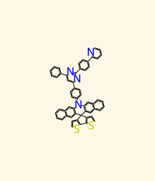 c1ccc(-c2cc(-c3ccc(N4c5cc6ccccc6cc5C5(c6cc7ccccc7cc64)c4ccsc4-c4sccc45)cc3)nc(-c3ccc(-c4ccccn4)cc3)n2)cc1